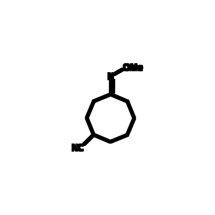 CON=C1CCCCC(C#N)CC1